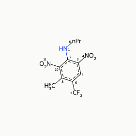 CCCNc1c([N+](=O)[O-])cc(C(F)(F)F)c(C)c1[N+](=O)[O-]